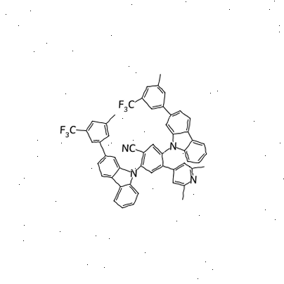 Cc1cc(-c2ccc3c4ccccc4n(-c4cc(-c5cc(C)nc(C)c5)c(-n5c6ccccc6c6ccc(-c7cc(C)cc(C(F)(F)F)c7)cc65)cc4C#N)c3c2)cc(C(F)(F)F)c1